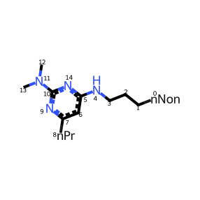 CCCCCCCCCCCCNc1cc(CCC)nc(N(C)C)n1